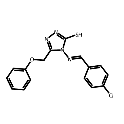 Sc1nnc(COc2ccccc2)n1/N=C/c1ccc(Cl)cc1